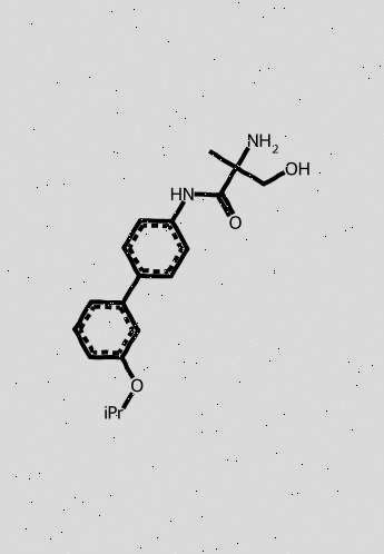 CC(C)Oc1cccc(-c2ccc(NC(=O)C(C)(N)CO)cc2)c1